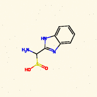 NC(c1nc2ccccc2[nH]1)S(=O)O